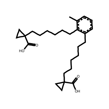 Cc1cccc(CCCCCCC2(C(=O)O)CC2)c1CCCCCCC1(C(=O)O)CC1